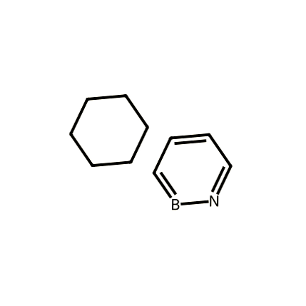 C1CCCCC1.b1ccccn1